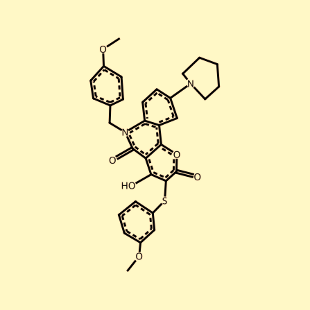 COc1ccc(Cn2c(=O)c3c(O)c(Sc4cccc(OC)c4)c(=O)oc3c3cc(N4CCCCC4)ccc32)cc1